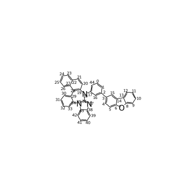 c1cc(-c2ccc3oc4ccccc4c3c2)cc(N2c3ccc4ccccc4c3-c3ccccc3-n3c2nc2ccccc23)c1